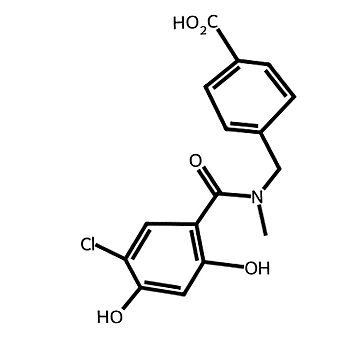 CN(Cc1ccc(C(=O)O)cc1)C(=O)c1cc(Cl)c(O)cc1O